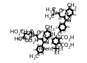 CCCCCC(CC)(CC)c1cccc(C(=O)O)c1C(=O)O.Cc1ccc(-c2nc3ccc(C)cn3c2CC(=O)N(C)C)cc1.Cc1ccc(-c2nc3ccc(C)cn3c2CC(=O)N(C)C)cc1.O=C(O)C(O)C(O)C(=O)O